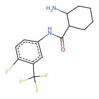 NC1CCCCC1C(=O)Nc1ccc(F)c(C(F)(F)F)c1